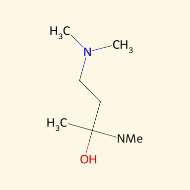 CNC(C)(O)CCN(C)C